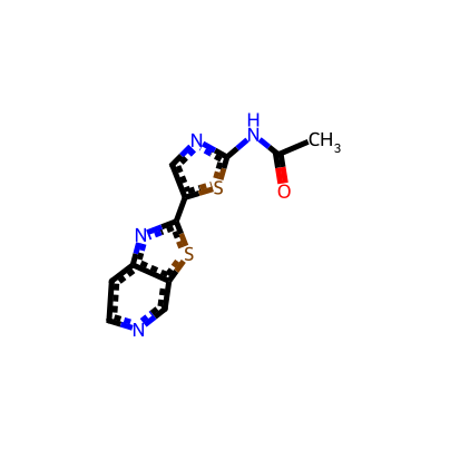 CC(=O)Nc1ncc(-c2nc3ccncc3s2)s1